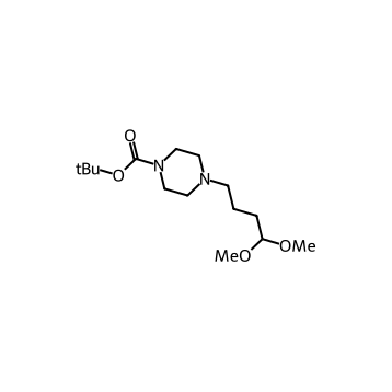 COC(CCCN1CCN(C(=O)OC(C)(C)C)CC1)OC